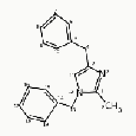 Cc1nc(Cc2ccccc2)cn1Cc1ccccc1